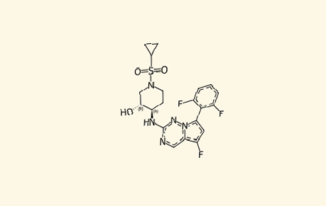 O=S(=O)(C1CC1)N1CC[C@@H](Nc2ncc3c(F)cc(-c4c(F)cccc4F)n3n2)[C@H](O)C1